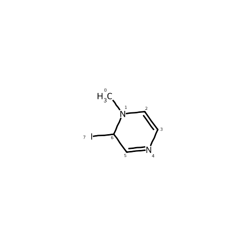 CN1C=CN=CC1I